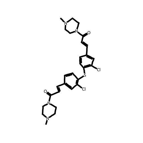 CN1CCN(C(=O)/C=C/c2ccc(Sc3ccc(/C=C/C(=O)N4CCN(C)CC4)cc3Cl)c(Cl)c2)CC1